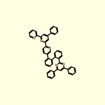 c1ccc(-c2cc(-c3ccccn3)nc(-c3ccc(-c4ccccc4-c4ccccc4-c4nc(-c5ccccc5)cc(-c5ccccc5)n4)cn3)c2)cc1